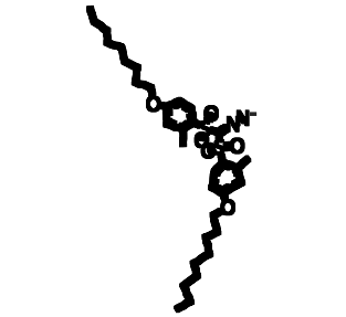 CCCCCCCCCOc1ccc(S(=O)(=O)C(=[N+]=[N-])S(=O)(=O)c2ccc(OCCCCCCCCC)cc2C)c(C)c1